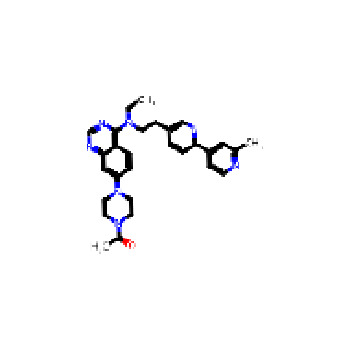 CCN(CCc1ccc(-c2ccnc(C)c2)nc1)c1ncnc2cc(N3CCN(C(C)=O)CC3)ccc12